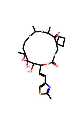 Cc1nc(C=CC2OC(=O)CCC3(CCC3)C(=O)C(C)CC(C)CCCC3(C)OC3(O)C2O)cs1